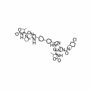 COC(=O)N[C@H](C(=O)N1CCC[C@H]1c1ncc(-c2ccc(-c3ccc(-c4cnc([C@@H]5CN(C(=O)N6Cc7ccc(Cl)cc7C6)CN5C(=O)[C@@H](NC(=O)OC)C(C)C)[nH]4)cc3)cc2)[nH]1)C(C)C